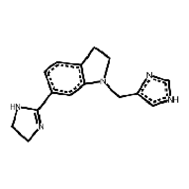 c1nc(CN2CCc3ccc(C4=NCCN4)cc32)c[nH]1